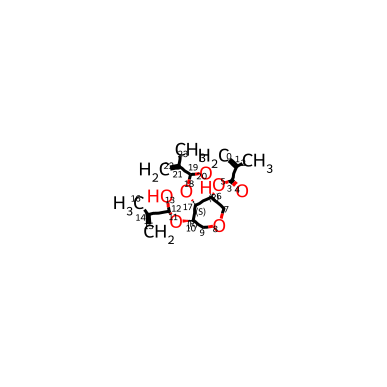 C=C(C)C(=O)O[C@@H]1COC[C@@H](OC(O)C(=C)C)[C@@H]1OC(O)C(=C)C